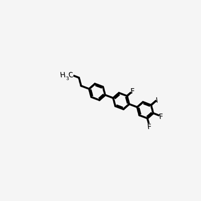 CCCc1ccc(-c2ccc(-c3cc(F)c(F)c(I)c3)c(F)c2)cc1